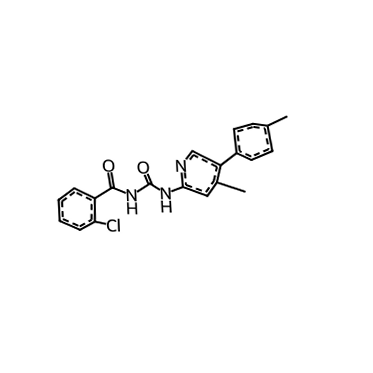 Cc1ccc(-c2cnc(NC(=O)NC(=O)c3ccccc3Cl)cc2C)cc1